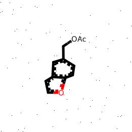 CC(=O)OCc1ccc2occc2c1